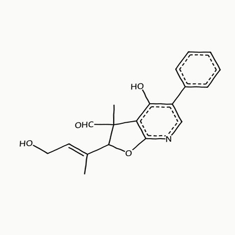 C/C(=C\CO)C1Oc2ncc(-c3ccccc3)c(O)c2C1(C)C=O